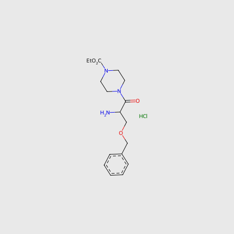 CCOC(=O)N1CCN(C(=O)C(N)COCc2ccccc2)CC1.Cl